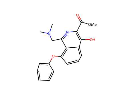 COC(=O)c1nc(CN(C)C)c2c(Oc3ccccc3)cccc2c1O